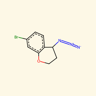 [N-]=[N+]=NC1CCOc2cc(Br)ccc21